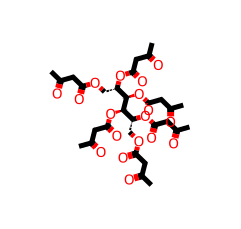 CC(=O)CC(=O)OC[C@H](OC(=O)CC(C)=O)[C@@H](OC(=O)CC(C)=O)[C@H](OC(=O)CC(C)=O)[C@@H](COC(=O)CC(C)=O)OC(=O)CC(C)=O